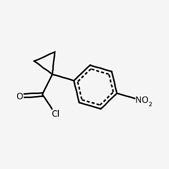 O=C(Cl)C1(c2ccc([N+](=O)[O-])cc2)CC1